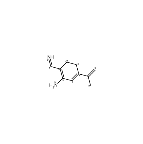 C=C(C)C1=CC(N)=C(C=N)CC1